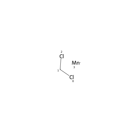 ClCCl.[Mn]